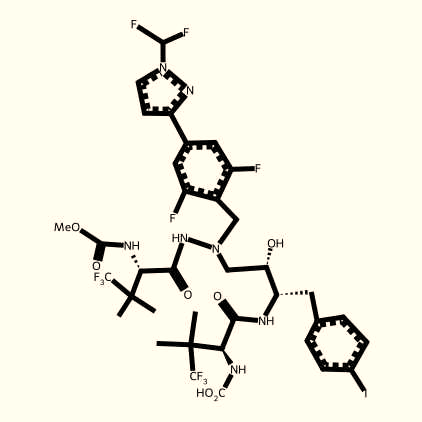 COC(=O)N[C@H](C(=O)NN(Cc1c(F)cc(-c2ccn(C(F)F)n2)cc1F)C[C@H](O)[C@H](Cc1ccc(I)cc1)NC(=O)[C@@H](NC(=O)O)C(C)(C)C(F)(F)F)C(C)(C)C(F)(F)F